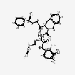 [N-]=[N+]=NCC[C@H](NC(=O)[C@@H]1Cc2ccccc2CN1C(=O)CCC(=O)c1ccccc1)C(=O)Nc1ccc(Cl)c(Cl)c1F